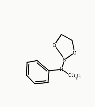 O=C(O)N(B1OCCO1)c1ccccc1